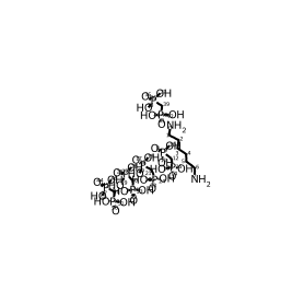 NCCCCCCN.O=P(O)(O)CP(=O)(O)O.O=P(O)(O)CP(=O)(O)O.O=P(O)(O)CP(=O)(O)O.O=P(O)(O)CP(=O)(O)O.O=P(O)(O)CP(=O)(O)O